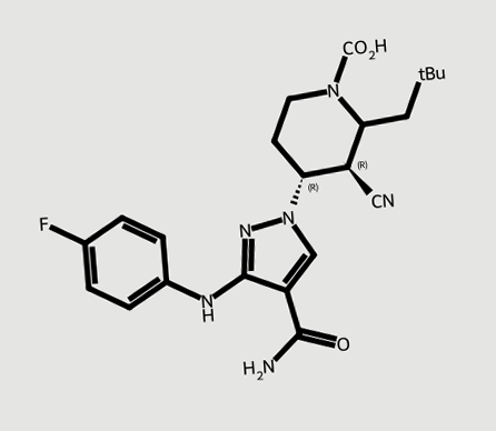 CC(C)(C)CC1[C@@H](C#N)[C@H](n2cc(C(N)=O)c(Nc3ccc(F)cc3)n2)CCN1C(=O)O